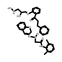 C1=Cc2ccccc2OC1.CCCNCC(O)COc1ccccc1C(=O)CCc1ccccc1.CCN(CC)CC(=O)Nc1c(C)cccc1C